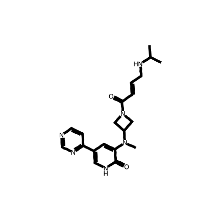 CC(C)NCC=CC(=O)N1CC(N(C)c2cc(-c3ccncn3)c[nH]c2=O)C1